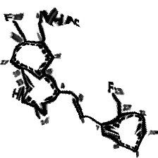 CC(=O)Nc1cc2c(C=Cc3ccccc3F)n[nH]c2cc1F